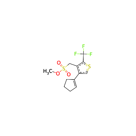 COS(=O)(=O)Cc1c(C2=CCCC2)csc1C(F)(F)F